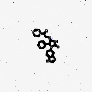 O=C(C/N=C1/NC(=O)N(C2C=c3nc[nH]c3=CC2)C1C1=CCCCC1)N1CCSCC1